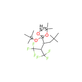 CC(C)(C)C[C](C(C(F)(F)F)C(F)(F)F)[Si](O[SiH3])(O[Si](C)(C)C)O[Si](C)(C)C